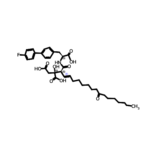 CCCCCCCC(=O)CCCCCC/C=C/[C@H](C(=O)N[C@@H](Cc1ccc(-c2ccc(F)cc2)cc1)C(=O)O)[C@@](O)(CC(=O)O)C(=O)O